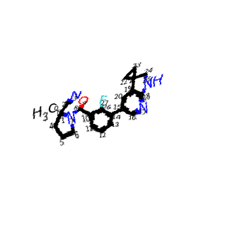 C[C@@]1(C#N)CCCN1C(=O)c1cccc(-c2cnc3c(c2)C2(CC2)CN3)c1F